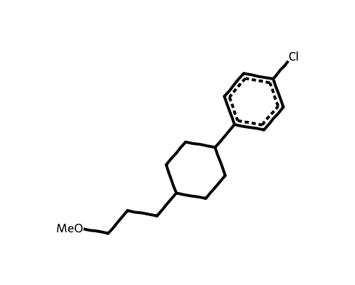 COCCCC1CCC(c2ccc(Cl)cc2)CC1